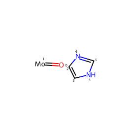 [O]=[Mo].c1c[nH]cn1